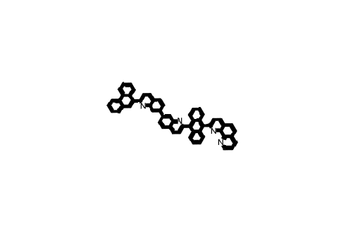 c1ccc2c(c1)cc(-c1ccc3ccc(-c4ccc5ccc(-c6c7ccccc7c(-c7ccc8ccc9cccnc9c8n7)c7ccccc67)nc5c4)cc3n1)c1ccccc12